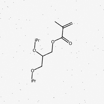 C=C(C)C(=O)OCC(COC(C)C)OC(C)C